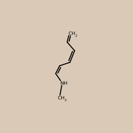 C=C/C=C\C=C/NC